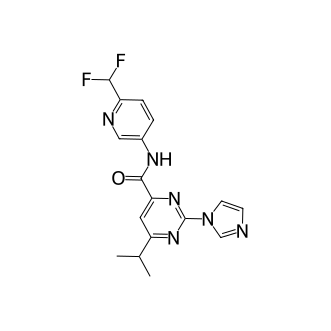 CC(C)c1cc(C(=O)Nc2ccc(C(F)F)nc2)nc(-n2ccnc2)n1